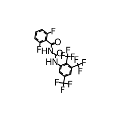 O=C(NC(=O)c1c(F)cccc1F)Nc1cc(C(F)(F)F)cc(C(F)(F)F)c1C(F)(F)F